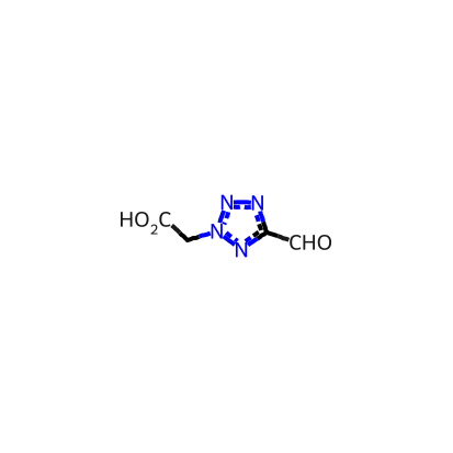 O=Cc1nnn(CC(=O)O)n1